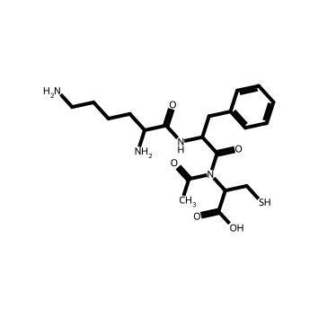 CC(=O)N(C(=O)C(Cc1ccccc1)NC(=O)C(N)CCCCN)C(CS)C(=O)O